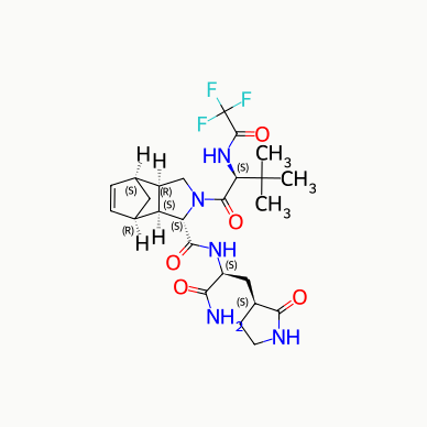 CC(C)(C)[C@H](NC(=O)C(F)(F)F)C(=O)N1C[C@H]2[C@@H]([C@H]1C(=O)N[C@@H](C[C@@H]1CCNC1=O)C(N)=O)[C@H]1C=C[C@@H]2C1